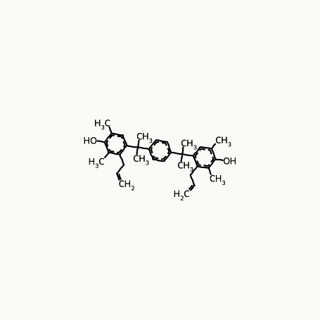 C=CCc1c(C(C)(C)c2ccc(C(C)(C)c3cc(C)c(O)c(C)c3CC=C)cc2)cc(C)c(O)c1C